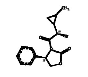 CC1CC1[C@@H](Br)C(=O)N1C(=O)OC[C@H]1c1ccccc1